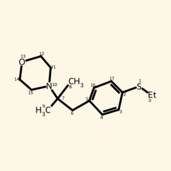 CCSc1ccc(CC(C)(C)N2CCOCC2)cc1